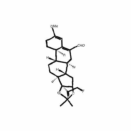 COC1=CC2=C(C=O)C[C@@H]3[C@H](CC[C@@]4(C)[C@H]3CC3OC(C)(C)O[C@]34C(=O)CF)[C@H]2CC1